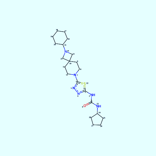 O=C(Nc1nnc(N2CCC3(CC2)CN(C2CCCCC2)C3)s1)NC1CCCC1